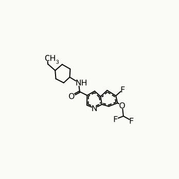 CCC1CCC(NC(=O)c2cnc3cc(OC(F)F)c(F)cc3c2)CC1